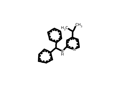 CC(C)c1ccnc(BC(c2ccccc2)c2ccccc2)c1